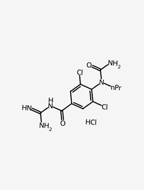 CCCN(C(N)=O)c1c(Cl)cc(C(=O)NC(=N)N)cc1Cl.Cl